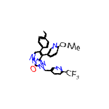 COc1ccc(-c2c(-c3ccc(C)cc3)cnn3c(=O)n(Cc4ccc(C(F)(F)F)nc4)nc23)cn1